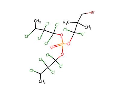 CC(Cl)C(Cl)(Cl)C(Cl)(Cl)OP(=O)(OC(Cl)(Cl)C(C)(C)CBr)OC(Cl)(Cl)C(Cl)(Cl)C(C)Cl